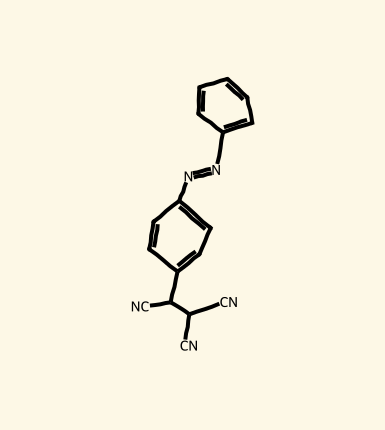 N#CC(C#N)C(C#N)c1ccc(/N=N/c2ccccc2)cc1